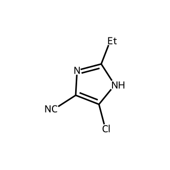 CCc1nc(C#N)c(Cl)[nH]1